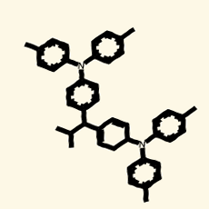 Cc1ccc(N(c2ccc(C)cc2)c2ccc(C(C3=CCC(N(c4ccc(C)cc4)c4ccc(C)cc4)C=C3)C(C)C)cc2)cc1